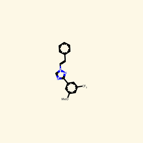 COc1cc(-c2ncn(C=Cc3ccccc3)n2)cc(C(F)(F)F)c1